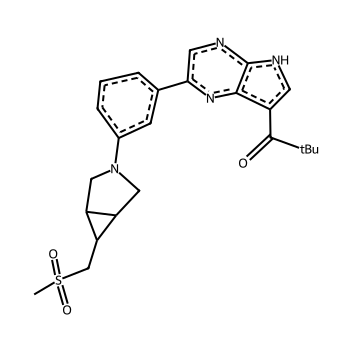 CC(C)(C)C(=O)c1c[nH]c2ncc(-c3cccc(N4CC5C(C4)C5CS(C)(=O)=O)c3)nc12